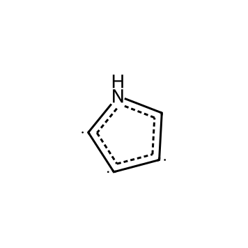 [c]1[c]c[nH][c]1